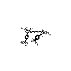 CC1SC(c2ccc(C(=O)O)cc2)N(CCCCCCN2C(=O)C(C)SC2c2ccc(C(=O)O)cc2)C1=O